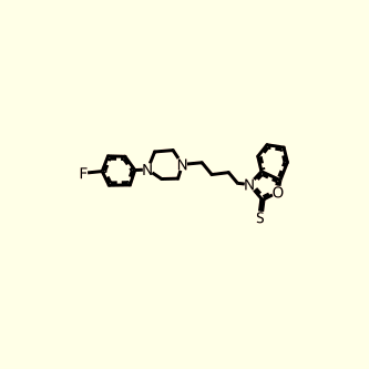 Fc1ccc(N2CCN(CCCCn3c(=S)oc4ccccc43)CC2)cc1